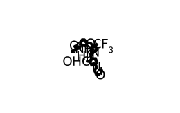 C=CC(=O)Nc1cccc(Oc2nc(Nc3ccc(N4CCOCC4)cc3C=O)ncc2C(F)(F)F)c1